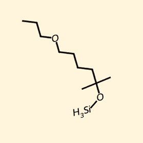 CCCOCCCCC(C)(C)O[SiH3]